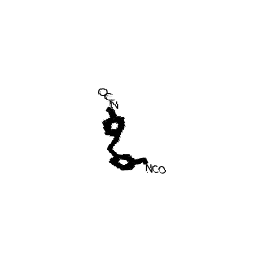 O=C=NCc1ccc(CCc2cccc(CN=C=O)c2)cc1